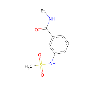 CCNC(=O)c1cccc(NS(C)(=O)=O)c1